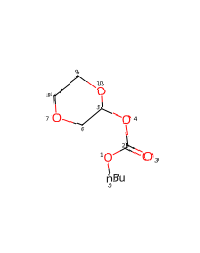 CCCCOC(=O)OC1COCCO1